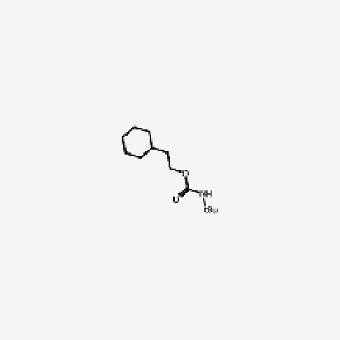 CC(C)(C)NC(=O)OCCC1CCCCC1